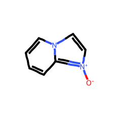 [O-][n+]1ccn2ccccc21